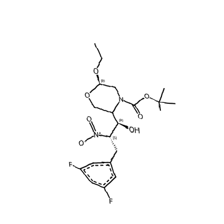 CCO[C@H]1CN(C(=O)OC(C)(C)C)C([C@@H](O)[C@H](Cc2cc(F)cc(F)c2)[N+](=O)[O-])CO1